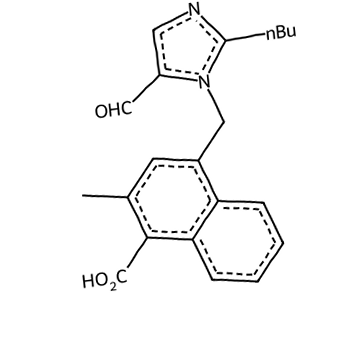 CCCCc1ncc(C=O)n1Cc1cc(C)c(C(=O)O)c2ccccc12